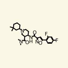 CN(C)C(=O)C1CN(C2CCCC(C)(C)C2)CCC1NC(=O)c1cc(-c2ccc(F)cc2F)on1